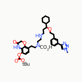 Cn1cc(-c2cccc(CCOC(CCNCCN(CCc3ccc(OC(=O)OC(C)(C)C)c4c3OCC(=O)N4)C(=O)O)C3CCCCC3)c2)nn1